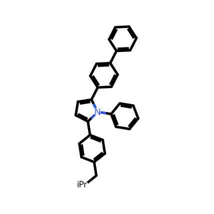 CC(C)Cc1ccc(-c2ccc(-c3ccc(-c4ccccc4)cc3)n2-c2ccccc2)cc1